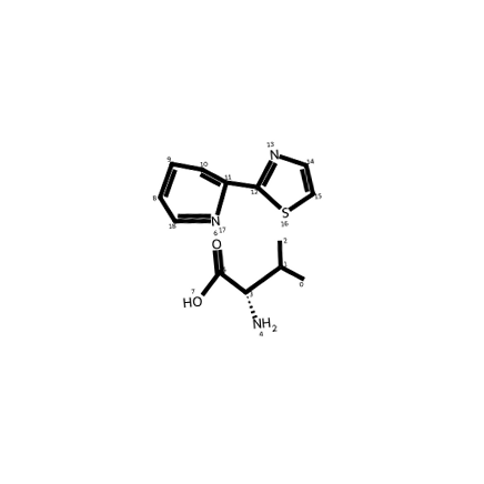 CC(C)[C@H](N)C(=O)O.c1ccc(-c2nccs2)nc1